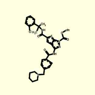 CCCOC(=O)n1nc(NC(=O)c2ccc(CN3CCCCC3)cc2)c2cc(C(=O)NC(C)(C)c3ccccc3Cl)sc21